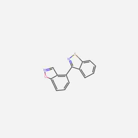 [c]1noc2cccc(-c3nsc4ccccc34)c12